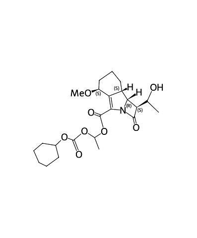 CO[C@H]1CCC[C@H]2C1=C(C(=O)OC(C)OC(=O)OC1CCCCC1)N1C(=O)[C@H](C(C)O)[C@@H]21